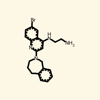 NCCNc1cc(N2CCCc3ccccc3C2)nc2ccc(Br)cc12